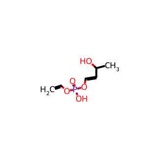 C=COP(=O)(O)OC=CC(C)O